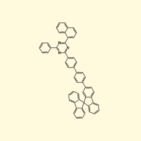 c1ccc(-c2nc(-c3ccc(-c4ccc(-c5ccc6c(c5)C5(c7ccccc7-c7ccccc75)c5ccccc5-6)cc4)cc3)nc(-c3cccc4ccccc34)n2)cc1